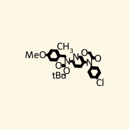 COc1ccc(CN(C(=O)OC(C)(C)C)c2ccc3c(n2)OCC(=O)N3c2ccc(Cl)cc2)c(C)c1